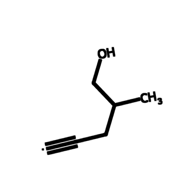 [C]#CCC(C)CO